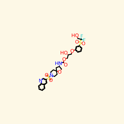 O=C(N[C@H]1COC2(CCN(S(=O)(=O)c3cnc4ccccc4c3)CC2)C1)OCC(O)COc1cccc(S(=O)(=O)C(F)(F)CO)c1